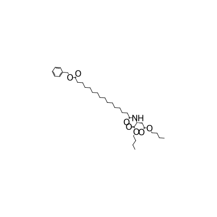 CCCCOC(=O)C[C@H](NC(=O)CCCCCCCCCCCCCCC(=O)OCc1ccccc1)C(=O)OCCCC